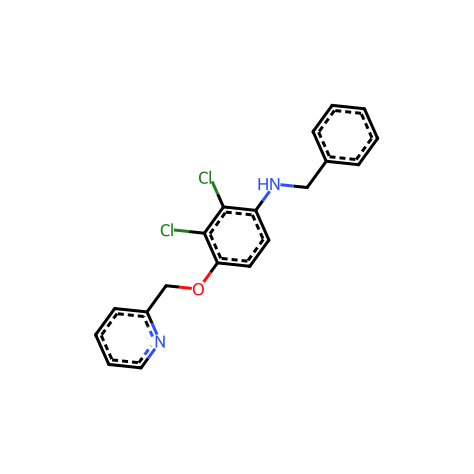 Clc1c(NCc2ccccc2)ccc(OCc2ccccn2)c1Cl